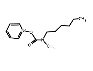 CCCCCCN(C)C(=O)O[n+]1ccccc1